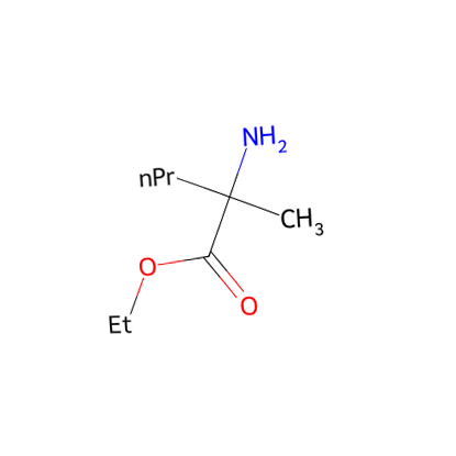 CCCC(C)(N)C(=O)OCC